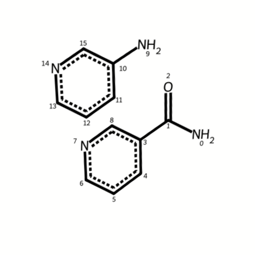 NC(=O)c1cccnc1.Nc1cccnc1